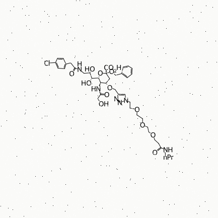 CCCNC(=O)CCOCCOCCOCCn1cc(CO[C@H]2C[C@](OCc3ccccc3)(C(=O)O)O[C@@H]([C@H](O)[C@H](O)CNC(=O)Cc3ccc(Cl)cc3)[C@@H]2NC(=O)CO)nn1